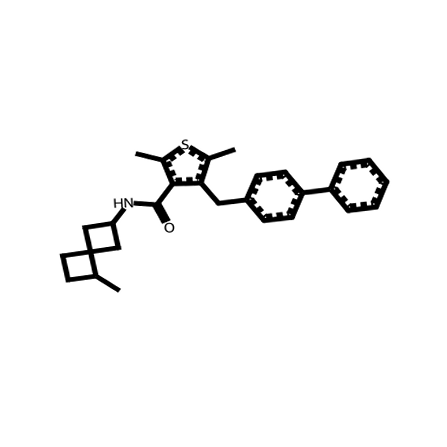 Cc1sc(C)c(C(=O)NC2CC3(CCC3C)C2)c1Cc1ccc(-c2ccccc2)cc1